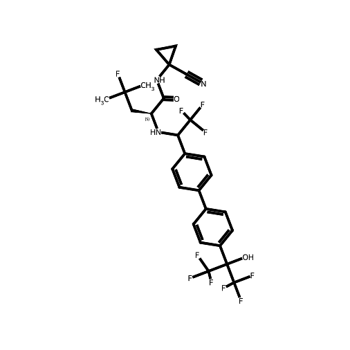 CC(C)(F)C[C@H](NC(c1ccc(-c2ccc(C(O)(C(F)(F)F)C(F)(F)F)cc2)cc1)C(F)(F)F)C(=O)NC1(C#N)CC1